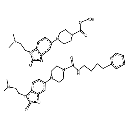 CN(C)CCn1c(=O)oc2cc(N3CCN(C(=O)NCCCCc4ccccc4)CC3)ccc21.CN(C)CCn1c(=O)oc2cc(N3CCN(C(=O)OC(C)(C)C)CC3)ccc21